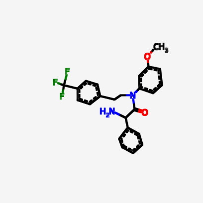 COc1cccc(N(CCc2ccc(C(F)(F)F)cc2)C(=O)C(N)c2ccccc2)c1